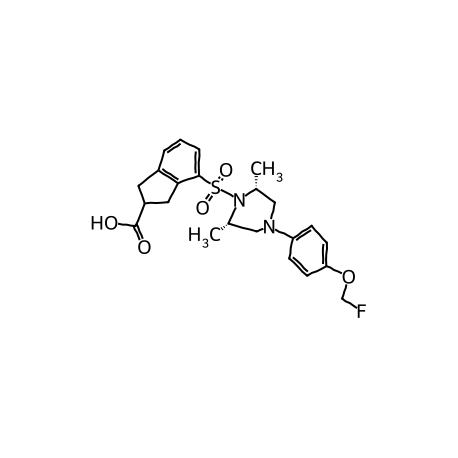 C[C@@H]1CN(c2ccc(OCF)cc2)C[C@H](C)N1S(=O)(=O)c1cccc2c1CC(C(=O)O)C2